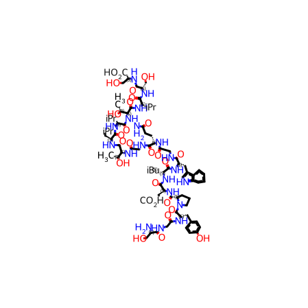 CC[C@H](C)[C@H](NC(=O)[C@H](CC(=O)O)NC(=O)[C@@H]1CCCN1C(=O)[C@H](Cc1ccc(O)cc1)NC(=O)CNC(=O)[C@@H](N)CO)C(=O)N[C@@H](Cc1c[nH]c2ccccc12)C(=O)NCC(=O)N[C@@H](CCC(N)=O)C(=O)NCC(=O)N[C@H](C(=O)N[C@@H](CC(C)C)C(=O)N[C@H](C(=O)N[C@H](C(=O)N[C@H](C(=O)N[C@@H](CO)C(=O)N[C@@H](CO)C(=O)O)C(C)C)[C@@H](C)O)C(C)C)[C@@H](C)O